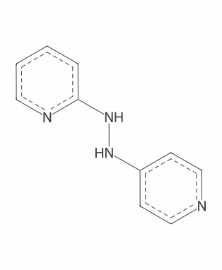 c1ccc(NNc2ccncc2)nc1